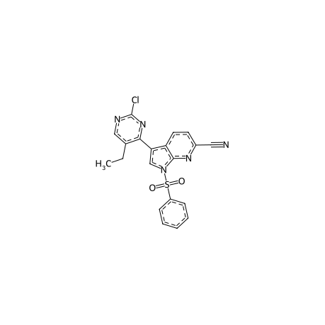 CCc1cnc(Cl)nc1-c1cn(S(=O)(=O)c2ccccc2)c2nc(C#N)ccc12